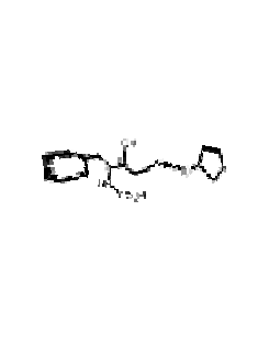 O=C(O)N[C@@H](Cc1ccccc1)[C@@H](O)CNOC1CCCC1